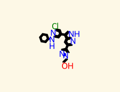 OCCn1cc(-c2cnc3[nH]cc(-c4cc(Cl)nc(NC5CCCCC5)c4)c3c2)cn1